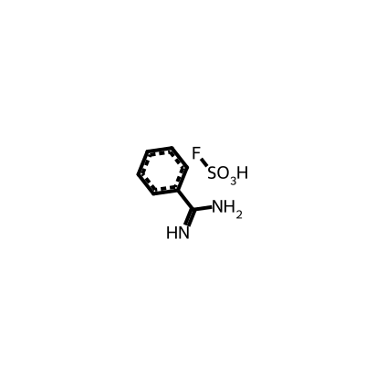 N=C(N)c1ccccc1.O=S(=O)(O)F